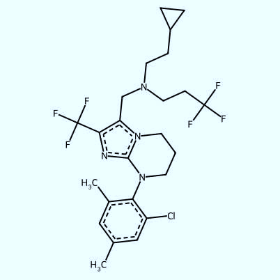 Cc1cc(C)c(N2CCCn3c2nc(C(F)(F)F)c3CN(CCC2CC2)CCC(F)(F)F)c(Cl)c1